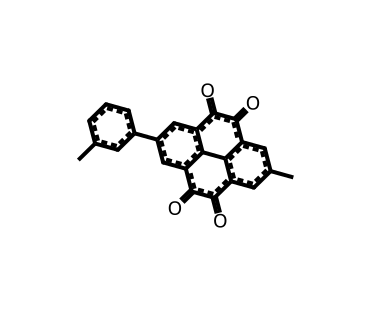 Cc1cccc(-c2cc3c4c(c2)c(=O)c(=O)c2cc(C)cc(c2-4)c(=O)c3=O)c1